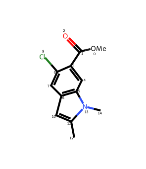 COC(=O)c1cc2c(cc1Cl)cc(C)n2C